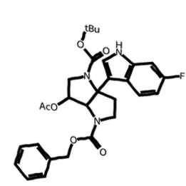 CC(=O)OC1CN(C(=O)OC(C)(C)C)C2(c3c[nH]c4cc(F)ccc34)CCN(C(=O)OCc3ccccc3)C12